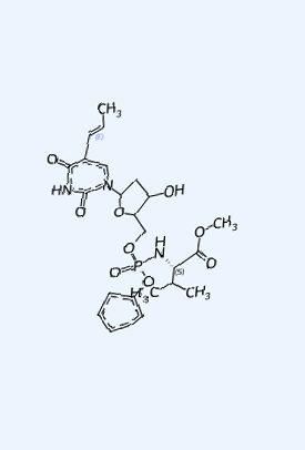 C/C=C/c1cn(C2CC(O)C(COP(=O)(N[C@H](C(=O)OC)C(C)C)Oc3ccccc3)O2)c(=O)[nH]c1=O